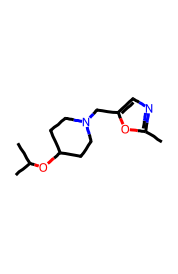 Cc1ncc(CN2CCC(OC(C)C)CC2)o1